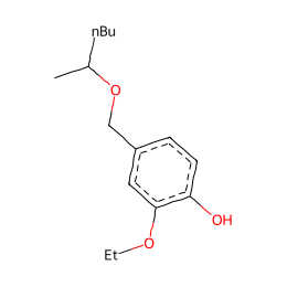 CCCCC(C)OCc1ccc(O)c(OCC)c1